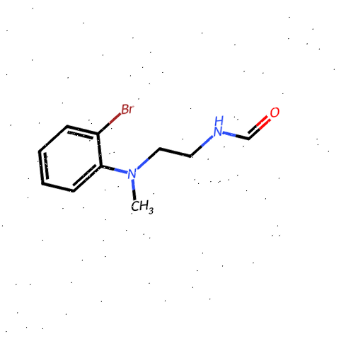 CN(CCNC=O)c1ccccc1Br